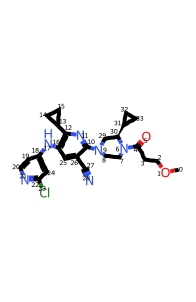 COCCC(=O)N1CCN(c2nc(C3CC3)c(Nc3ccnc(Cl)c3)cc2C#N)C[C@H]1C1CC1